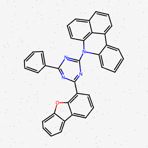 c1ccc(-c2nc(-c3cccc4c3oc3ccccc34)nc(N3c4ccccc4-c4cccc5cccc3c45)n2)cc1